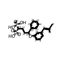 CC(C)=Cc1cccc(OC(CCC(P(=O)(O)O)S(=O)(=O)O)c2ccccc2)c1